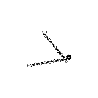 O=C(c1ccccc1)N(CCOCCOCCOCCOCCOCCOCCO)CCOCCOCCOCCOCCOCCOCCO